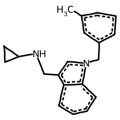 Cc1cccc(Cn2cc(CNC3CC3)c3ccccc32)c1